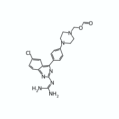 NC(N)=Nc1nc(-c2ccc(N3CCN(COC=O)CC3)cc2)c2cc(Cl)ccc2n1